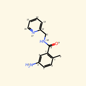 Cc1ccc(N)cc1C(=O)NCc1ccccn1